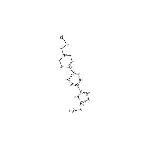 CCn1cnc(-c2ccc(C3=CCN([CH]CCl)CC3)cc2)n1